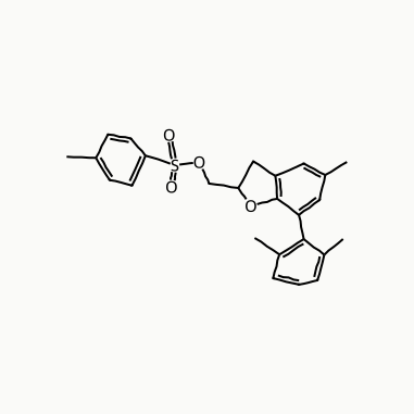 Cc1ccc(S(=O)(=O)OCC2Cc3cc(C)cc(-c4c(C)cccc4C)c3O2)cc1